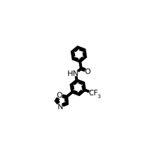 O=C(Nc1cc(-c2cnco2)cc(C(F)(F)F)c1)c1ccccc1